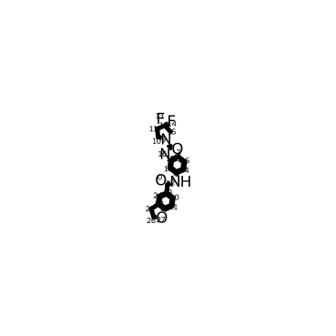 O=C(Nc1ccc2oc(N3CCC(F)(F)C3)nc2c1)c1ccc2c(c1)CCO2